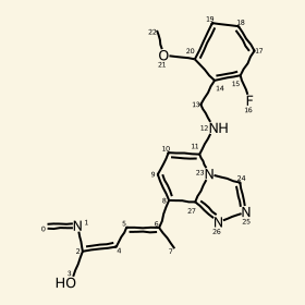 C=N/C(O)=C\C=C(/C)c1ccc(NCc2c(F)cccc2OC)n2cnnc12